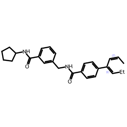 C/C=C\C(=C/CC)c1ccc(C(=O)NCc2cccc(C(=O)NC3CCCC3)c2)cc1